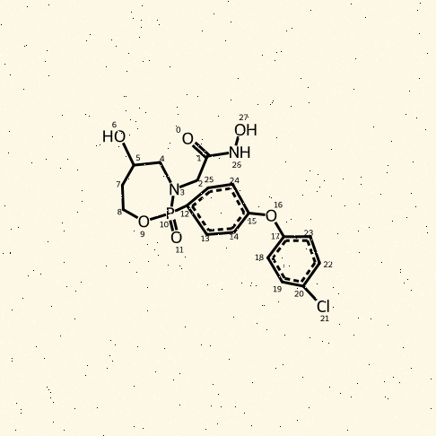 O=C(CN1CC(O)CCOP1(=O)c1ccc(Oc2ccc(Cl)cc2)cc1)NO